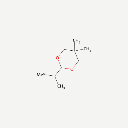 CSC(C)C1OCC(C)(C)CO1